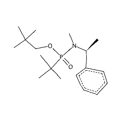 C[C@@H](c1ccccc1)N(C)P(=O)(OCC(C)(C)C)C(C)(C)C